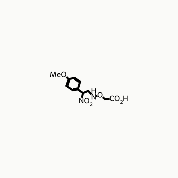 COc1ccc(C(CNOCC(=O)O)[N+](=O)[O-])cc1